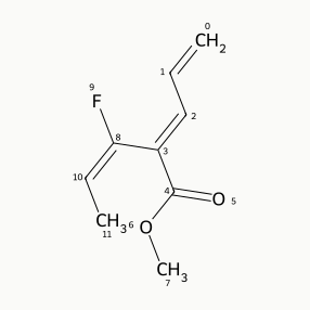 C=C/C=C(C(=O)OC)\C(F)=C/C